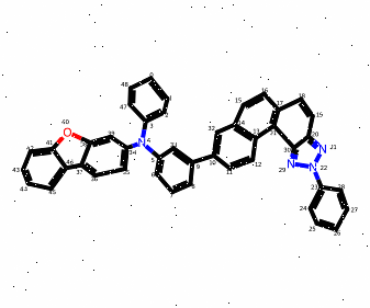 c1ccc(N(c2cccc(-c3ccc4c(ccc5ccc6nn(-c7ccccc7)nc6c54)c3)c2)c2ccc3c(c2)oc2ccccc23)cc1